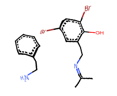 CC(C)=NCc1cc(Br)cc(Br)c1O.NCc1ccccc1